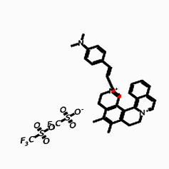 Cc1c(C)c2c(c3c1CC[n+]1ccc4ccccc4c1-3)-c1cccc(/C=C/c3ccc(N(C)C)cc3)[n+]1CC2.O=S(=O)([O-])C(F)(F)F.O=S(=O)([O-])C(F)(F)F